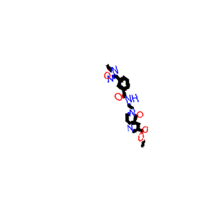 CCOC(=O)c1cnc2ccn(CCNC(=O)c3cccc(-c4noc(C)n4)c3)c(=O)c2c1